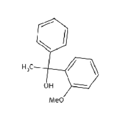 COc1ccccc1C(C)(O)c1ccccc1